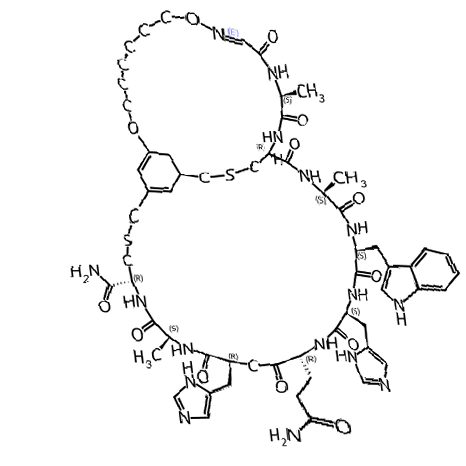 C[C@@H]1NC(=O)/C=N/OCCCCCCOC2=CC3=CC(CSC[C@H](NC1=O)C(=O)N[C@@H](C)C(=O)N[C@@H](Cc1c[nH]c4ccccc14)C(=O)N[C@@H](Cc1cnc[nH]1)C(=O)N[C@H](CCC(N)=O)C(=O)C[C@@H](Cc1cnc[nH]1)C(=O)N[C@@H](C)C(=O)N[C@H](C(N)=O)CSC3)C2